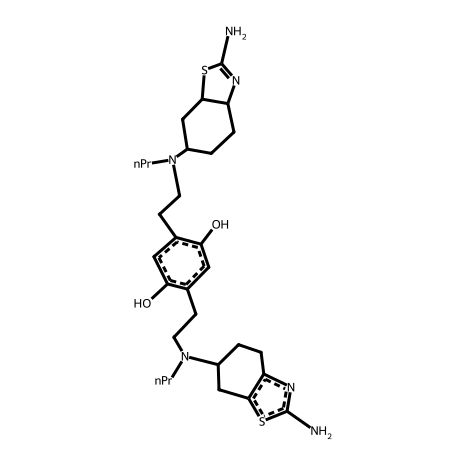 CCCN(CCc1cc(O)c(CCN(CCC)C2CCC3N=C(N)SC3C2)cc1O)C1CCc2nc(N)sc2C1